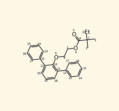 CCC(C)(C)C(=O)OCCOc1c(-c2ccccc2)cccc1-c1ccccc1